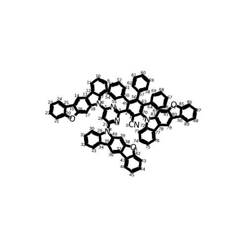 N#Cc1c(-c2nc(-n3c4ccccc4c4cc5c(cc43)oc3ccccc35)cc(-n3c4ccccc4c4cc5c(cc43)oc3ccccc35)n2)c(-c2ccccc2)c(-c2ccccc2)c(-c2ccccc2)c1-n1c2ccccc2c2cc3c(cc21)oc1ccccc13